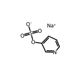 O=S(=O)([O-])Oc1cccnc1.[Na+]